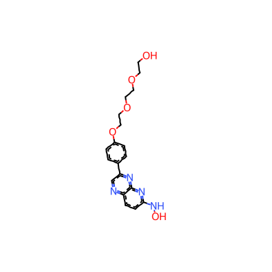 OCCOCCOCCOc1ccc(-c2cnc3ccc(NO)nc3n2)cc1